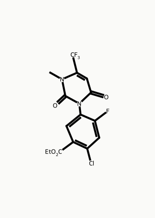 CCOC(=O)c1cc(-n2c(=O)cc(C(F)(F)F)n(C)c2=O)c(F)cc1Cl